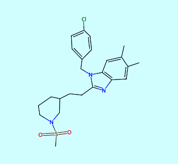 Cc1cc2nc(CCC3CCCN(S(C)(=O)=O)C3)n(Cc3ccc(Cl)cc3)c2cc1C